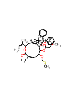 C/C=C(/C)C1CC=C(C)C(O[Si](c2ccccc2)(c2ccccc2)C(C)(C)C)C(OC(=O)CC(C)C)C(OCSC)CC=C(C)C(=O)O1